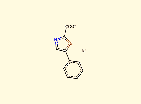 O=C([O-])c1ncc(-c2ccccc2)s1.[K+]